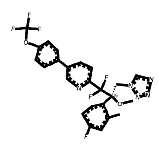 CO[C@@](Cn1cnnn1)(c1ccc(F)cc1C)C(F)(F)c1ccc(-c2ccc(OC(F)(F)F)cc2)cn1